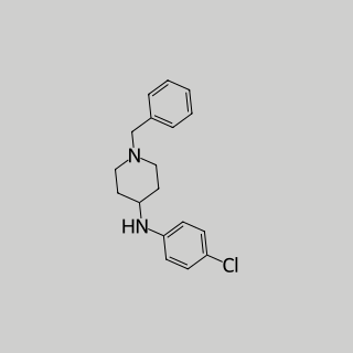 Clc1ccc(NC2CCN(Cc3ccccc3)CC2)cc1